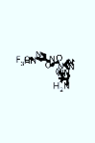 Cn1cc(NC(=O)c2coc(-c3ccnc(NCC(F)(F)F)c3)n2)c(N2CC(CN)C(C)(C)C2=O)n1